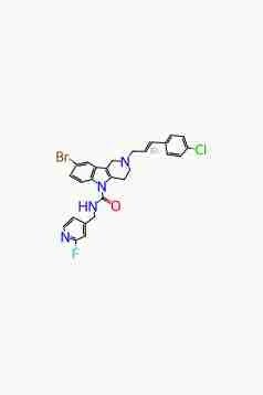 O=C(NCc1ccnc(F)c1)n1c2c(c3cc(Br)ccc31)CN(C/C=C/c1ccc(Cl)cc1)CC2